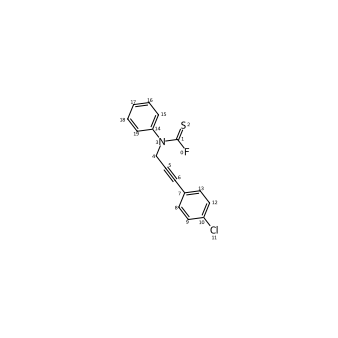 FC(=S)N(CC#Cc1ccc(Cl)cc1)c1ccccc1